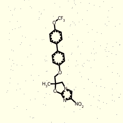 CC1(COc2ccc(-c3ccc(OC(F)(F)F)cc3)cc2)Cn2cc([N+](=O)[O-])nc2O1